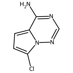 Nc1ncnn2c(Cl)ccc12